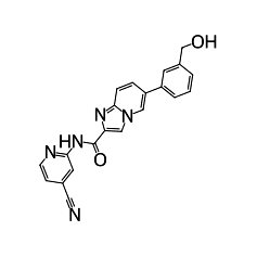 N#Cc1ccnc(NC(=O)c2cn3cc(-c4cccc(CO)c4)ccc3n2)c1